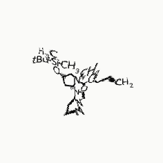 C=CCOC(=O)[N+]1(C)C[C@H](O[Si](C)(C)C(C)(C)C)C[C@H]1n1ccn2nccc12